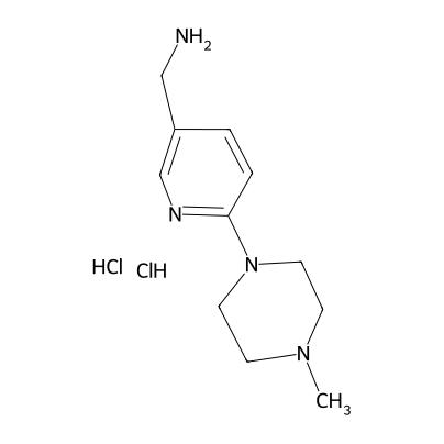 CN1CCN(c2ccc(CN)cn2)CC1.Cl.Cl